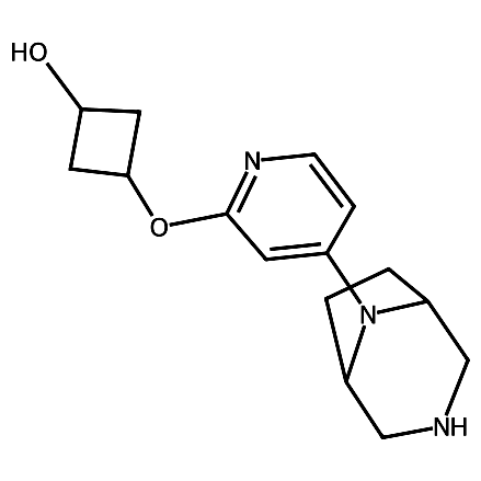 OC1CC(Oc2cc(N3C4CCC3CNC4)ccn2)C1